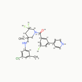 Cc1cc(Cl)cc(NCC2(C=O)CN(C(=O)c3cc(F)cc(-c4ccncc4)c3)CC(F)(F)C2)c1